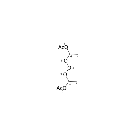 CC(=O)OC(C)OOOC(C)OC(C)=O